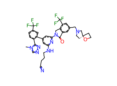 Cn1cnnc1-c1ccc(C(F)(F)F)cc1-c1cc(NCCCC#N)nc(N2Cc3c(cc(CN4CC[C@@]5(CCO5)C4)cc3C(F)(F)F)C2=O)c1